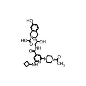 CC(=O)N1CCN(c2cc(C(=O)NCC(O)[C@@H]3Cc4ccc(O)cc4CN3C(=O)O)cc(NC3CCC3)n2)CC1